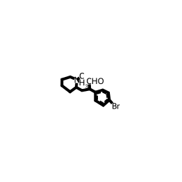 CN1CCCCC1CC(C=O)c1ccc(Br)cc1